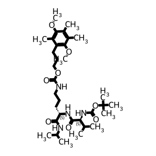 COc1c(C)c(C)c(OC)c(CCCOC(=O)NCCC[C@H](NC(=O)[C@@H](NC(=O)OC(C)(C)C)C(C)C)C(=O)NC(C)C)c1C